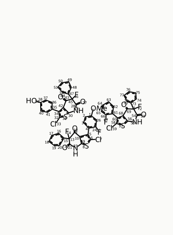 COc1ccc(-c2c(Cl)sc3c2C(=O)C(F)(c2ccccc2)C(=O)N3)c(F)c1.O=C1Nc2sc(Cl)c(-c3ccc(O)cc3)c2C(=O)C1(F)c1ccccc1.O=C1Nc2sc(Cl)c(-c3ccccc3F)c2C(=O)C1(F)c1ccccc1